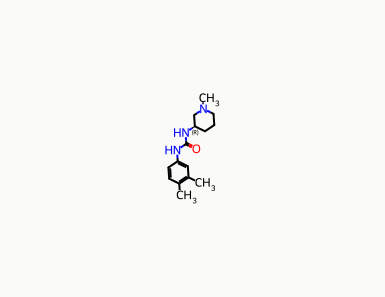 Cc1ccc(NC(=O)N[C@@H]2CCCN(C)C2)cc1C